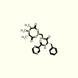 C[C@H]1C(=O)OB(CNC(=O)[C@H](Cc2ccccc2)NC(=O)c2cnccn2)OC(=O)[C@H](C)N1C